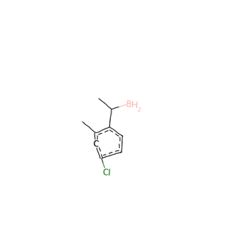 BC(C)c1ccc(Cl)cc1C